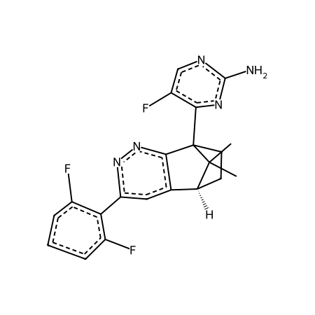 CC1(C)[C@H]2CCC1(c1nc(N)ncc1F)c1nnc(-c3c(F)cccc3F)cc12